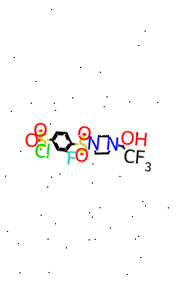 O=S(=O)(Cl)c1ccc(S(=O)(=O)N2CCN(C(O)C(F)(F)F)CC2)c(F)c1